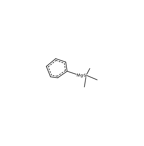 C[Si](C)(C)[Mg][c]1ccccc1